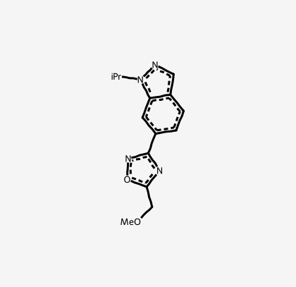 COCc1nc(-c2ccc3cnn(C(C)C)c3c2)no1